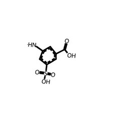 [NH]c1cc(C(=O)O)cc(S(=O)(=O)O)c1